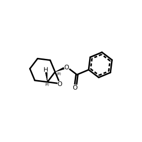 O=C(O[C@]12CCCC[C@H]1O2)c1ccccc1